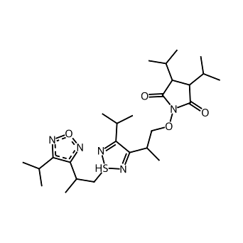 CC(C)C1=N[SH](CC(C)c2nonc2C(C)C)N=C1C(C)CON1C(=O)C(C(C)C)C(C(C)C)C1=O